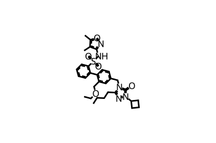 CCCCc1nn(C2CCC2)c(=O)n1Cc1ccc(-c2ccccc2S(=O)(=O)Nc2noc(C)c2C)c(COCC)c1